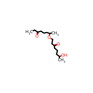 CCC(=O)CCCC(C)OCCC(=O)CCCC(C)O